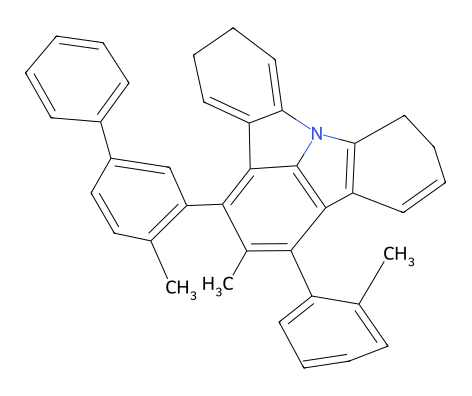 Cc1ccccc1-c1c(C)c(-c2cc(-c3ccccc3)ccc2C)c2c3c(n4c5c(c1c24)C=CCC5)=CCCC=3